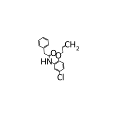 C=CCOc1ccc(Cl)cc1NC(=O)Cc1ccccc1